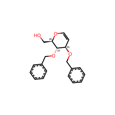 OC[C@H]1OC=C[C@@H](OCc2ccccc2)[C@@H]1OCc1ccccc1